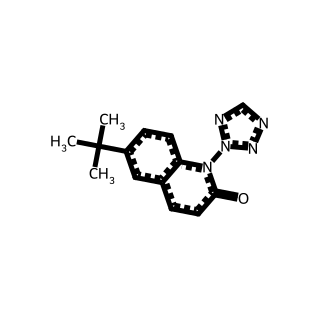 CC(C)(C)c1ccc2c(ccc(=O)n2-n2ncnn2)c1